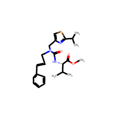 COC(=O)[C@@H](NC(=O)N(C/C=C/c1ccccc1)Cc1csc(C(C)C)n1)C(C)C